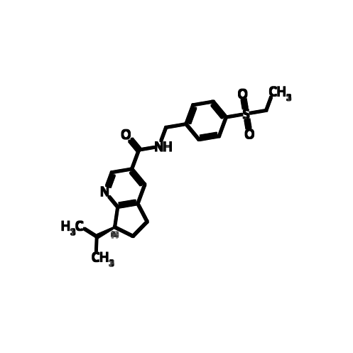 CCS(=O)(=O)c1ccc(CNC(=O)c2cnc3c(c2)CC[C@H]3C(C)C)cc1